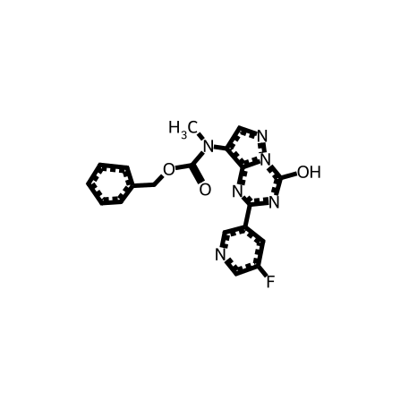 CN(C(=O)OCc1ccccc1)c1cnn2c(O)nc(-c3cncc(F)c3)nc12